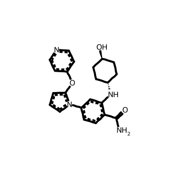 NC(=O)c1ccc(-n2cccc2Oc2ccncc2)cc1N[C@H]1CC[C@H](O)CC1